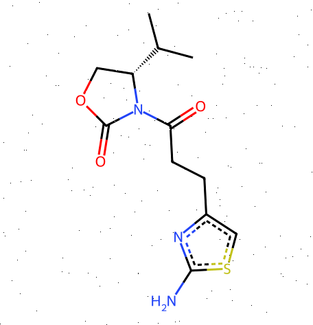 CC(C)[C@H]1COC(=O)N1C(=O)CCc1csc(N)n1